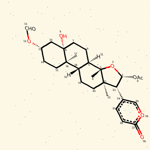 CC(=O)O[C@H]1O[C@@]2(C)[C@@H]3CC[C@]4(O)C[C@@H](OC=O)CC[C@]4(C)[C@H]3CC[C@]2(C)[C@H]1c1ccc(=O)oc1